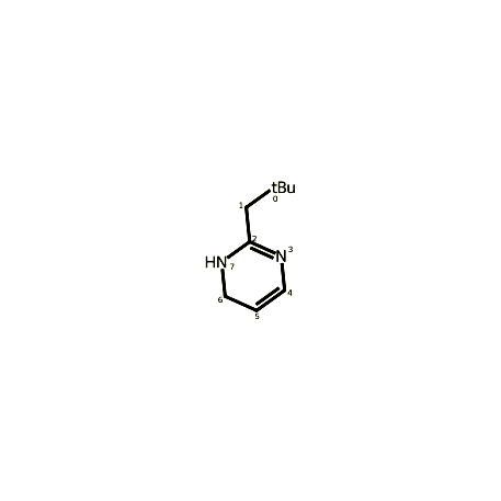 CC(C)(C)CC1=NC=CCN1